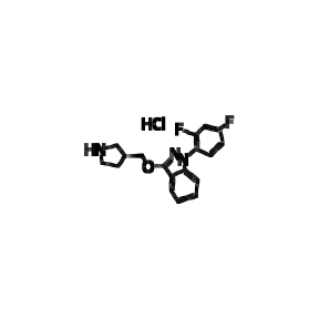 Cl.Fc1ccc(-n2nc(OC[C@H]3CCNC3)c3ccccc32)c(F)c1